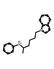 CC(CCCCn1ccc2ccccc21)[SiH2]c1ccccc1